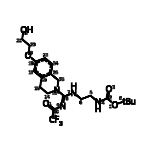 CC(C)(C)OC(=O)NCCN/C(=N/C(=O)C(F)(F)F)N1CCc2cc(OCCO)ccc2C1